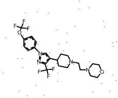 FC(F)(F)Oc1ccc(-n2cc(C3CCN(CCN4CCOCC4)CC3)c(C(F)(F)F)n2)cc1